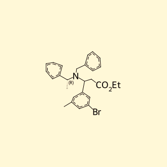 CCOC(=O)CC(c1cc(C)cc(Br)c1)N(Cc1ccccc1)[C@H](C)c1ccccc1